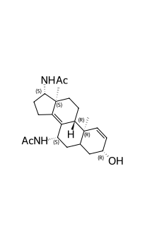 CC(=O)N[C@H]1CC2C[C@@H](O)C=C[C@]2(C)[C@H]2CC[C@@]3(C)C(=C12)CC[C@@H]3NC(C)=O